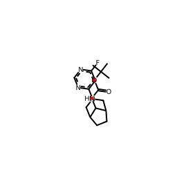 CC(C)(C)OC(=O)NC1C2CCC1CN(c1cc(F)ncn1)C2